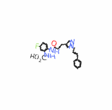 O=C(O)Nc1cc(F)ccc1NC(=O)C=Cc1cnn(CC=Cc2ccccc2)c1